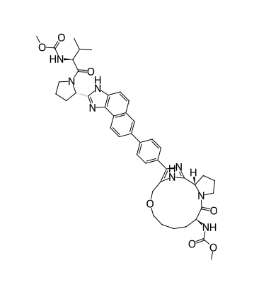 COC(=O)N[C@H]1CCCCOCc2[nH]c(nc2-c2ccc(-c3ccc4c(ccc5[nH]c([C@@H]6CCCN6C(=O)[C@@H](NC(=O)OC)C(C)C)nc54)c3)cc2)[C@@H]2CCCN2C1=O